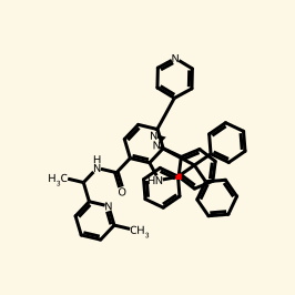 Cc1cccc(C(C)NC(=O)C2=C3Nc4ccccc4C34C(C=C2)N(c2ccncc2)CN4C(c2ccccc2)(c2ccccc2)c2ccccc2)n1